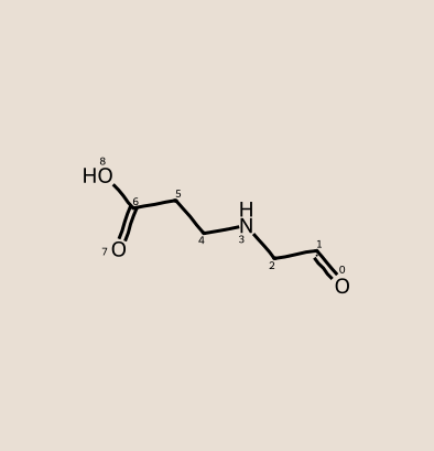 O=[C]CNCCC(=O)O